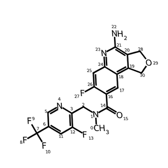 CN(Cc1ncc(C(F)(F)F)cc1F)C(=O)c1cc2c3c(c(N)nc2cc1F)COC3